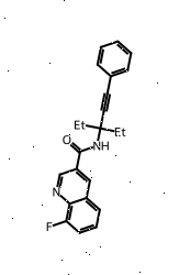 CCC(C#Cc1ccccc1)(CC)NC(=O)c1cnc2c(F)cccc2c1